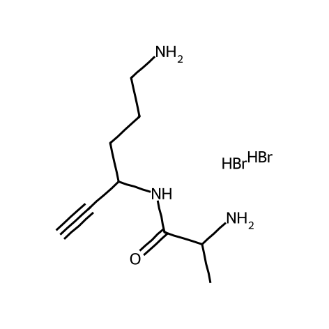 Br.Br.C#CC(CCCN)NC(=O)C(C)N